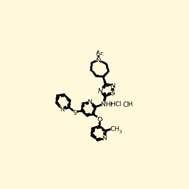 CC(=O)N1CCCC(c2nsc(Nc3ncc(Sc4ccccn4)cc3Oc3cccnc3C)n2)CC1.Cl.Cl